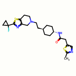 Cc1ncc(CC(=O)N[C@H]2CC[C@H](CCN3CCc4sc(C5(F)CC5)nc4C3)CC2)s1